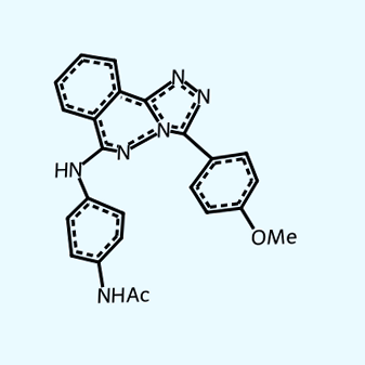 COc1ccc(-c2nnc3c4ccccc4c(Nc4ccc(NC(C)=O)cc4)nn23)cc1